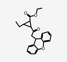 CCOC(=O)C1C(CC)C1C(=O)CC1c2ccccc2Oc2ccccc21